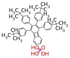 CC(C)(C)c1ccc(-c2c(-c3ccc(C(C)(C)C)cc3)c(-c3ccc(C(C)(C)C)cc3)c3c(c2-c2ccc(C(C)(C)C)cc2)=c2ccccc2=3)cc1.O=P(O)(O)O